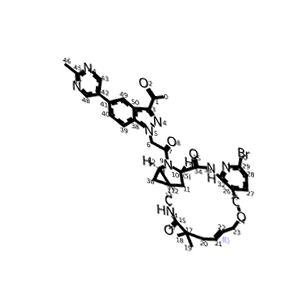 CC(=O)c1nn(CC(=O)N2[C@H]3C[C@@]4(CNC(=O)C(C)(C)C/C=C/COCc5ccc(Br)nc5NC3=O)C[C@@H]24)c2ccc(-c3cnc(C)nc3)cc12